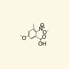 COc1cc(C)c([N+](=O)[O-])c(C(=O)O)c1